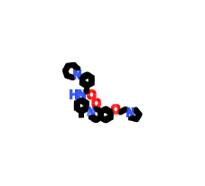 Cc1ccc(NC(=O)c2cccc(N3CCCCCC3)c2)cc1-n1ccc2ccc(OCCN3CCCC3)cc2c1=O